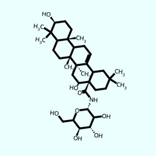 CC1(C)CC[C@@]2(C(=O)N[C@H]3OC(CO)[C@H](O)[C@@H](O)C3O)C(C1)C1=CCC3[C@@]4(C)CC[C@H](O)C(C)(C)C4CC[C@@]3(C)[C@]1(C)C[C@H]2O